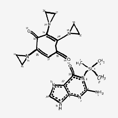 C[Si](C)(C)n1c(N)nc2[nH]cnc2c1=O.O=C1C=C(N2CC2)C(=O)C(N2CC2)=C1N1CC1